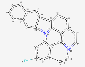 Cc1cc(F)cc2c1c1c3c(ccc4c5cc6ccccc6cc5n2c43)cc[n+]1C